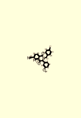 COc1cccc(C(C(N)=O)N(Cc2ccc(C)cc2)C(=O)c2ccc(C#N)cc2)c1